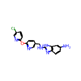 Nc1ccc2nc(NCc3ccc(Oc4ccc(Cl)cn4)nc3)[nH]c2c1